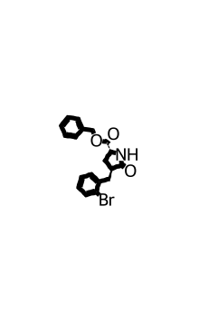 O=C1N[C@@H](C(=O)OCc2ccccc2)C[C@@H]1Cc1ccccc1Br